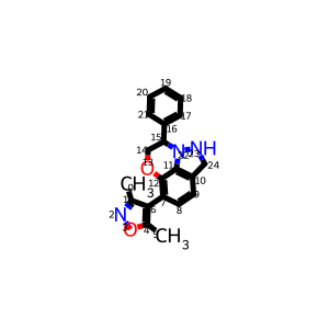 Cc1noc(C)c1-c1ccc2c3c1OCC(c1ccccc1)N3NC2